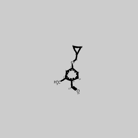 Cc1cc(OCC2CC2)ccc1C=O